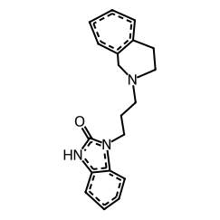 O=c1[nH]c2ccccc2n1CCCN1CCc2ccccc2C1